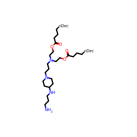 CCCCCCCCCCCCCC(=O)OCCN(CCCN1CCC(NCCCN)CC1)CCOC(=O)CCCCCCCCCCCCC